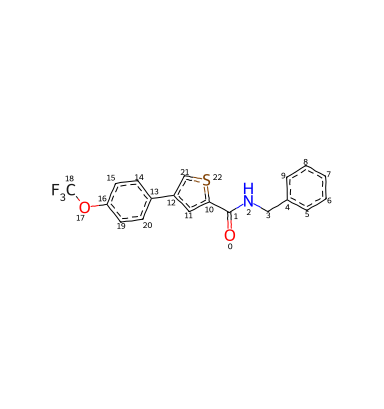 O=C(NCc1ccccc1)c1cc(-c2ccc(OC(F)(F)F)cc2)cs1